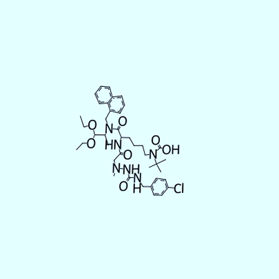 CCOC(OCC)C(C)N(Cc1cccc2ccccc12)C(=O)C(CCCCN(C(=O)O)C(C)(C)C)NC(=O)CN(C)NC(=O)NCc1ccc(Cl)cc1